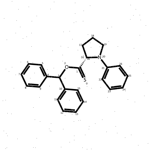 S=C(OC(c1ccccc1)c1ccccc1)[C@@H]1CCCN1c1ccccc1